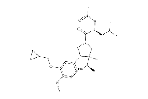 COc1ccc([C@@H]2CN(C(=O)[C@H](CC(C)C)OC(C)=O)C[C@@]2(C)[C@@H](C)O)cc1OCC1CC1